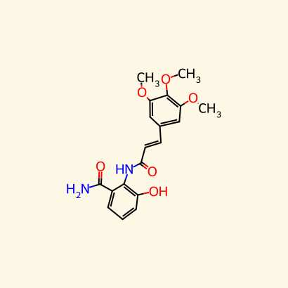 COc1cc(C=CC(=O)Nc2c(O)cccc2C(N)=O)cc(OC)c1OC